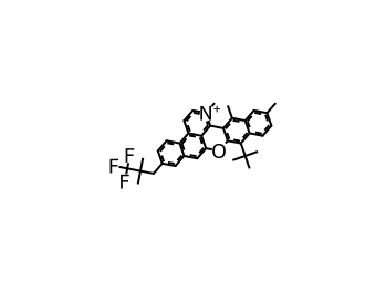 Cc1ccc2c(C(C)(C)C)c3c(c(C)c2c1)-c1c2c(cc4cc(CC(C)(C)C(F)(F)F)ccc4c2cc[n+]1C)O3